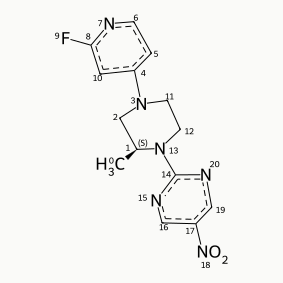 C[C@H]1CN(c2ccnc(F)c2)CCN1c1ncc([N+](=O)[O-])cn1